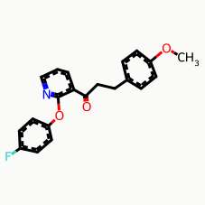 COc1ccc(CCC(=O)c2cccnc2Oc2ccc(F)cc2)cc1